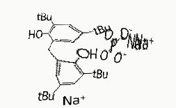 CC(C)(C)c1cc(Cc2cc(C(C)(C)C)cc(C(C)(C)C)c2O)c(O)c(C(C)(C)C)c1.O=P([O-])([O-])[O-].[Na+].[Na+].[Na+]